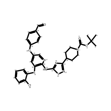 CC(C)(C)OC(=O)N1CCC(c2nsc(Nc3ncc(Oc4ccc(C=O)cc4)cc3Sc3ccccc3Cl)n2)CC1